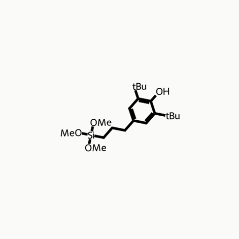 CO[Si](CCCc1cc(C(C)(C)C)c(O)c(C(C)(C)C)c1)(OC)OC